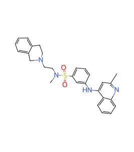 Cc1cc(Nc2cccc(S(=O)(=O)N(C)CCN3CCc4ccccc4C3)c2)c2ccccc2n1